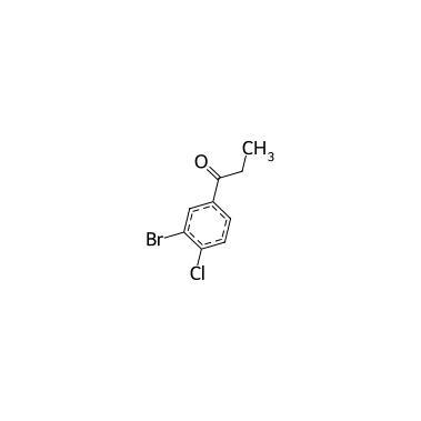 CCC(=O)c1ccc(Cl)c(Br)c1